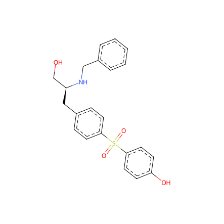 O=S(=O)(c1ccc(O)cc1)c1ccc(C[C@@H](CO)NCc2ccccc2)cc1